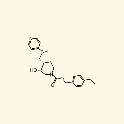 CCc1ccc(COC(=O)N2CC[C@@H](CNc3ccncc3)[C@@H](O)C2)cc1